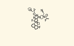 C=C(F)C(=O)N1CCN(c2nc(OCC3(CN4CCCC4)CC3)nc3c(F)c(-c4cccc5ccc(F)c(Cl)c45)ncc23)CC1CC#N